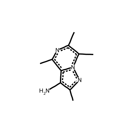 Cc1nn2c(C)c(C)nc(C)c2c1N